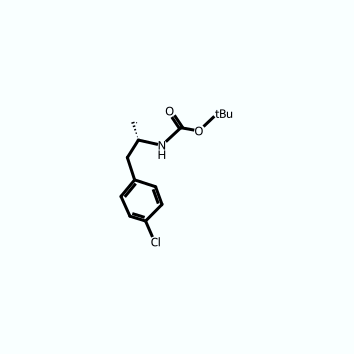 [CH2][C@@H](Cc1ccc(Cl)cc1)NC(=O)OC(C)(C)C